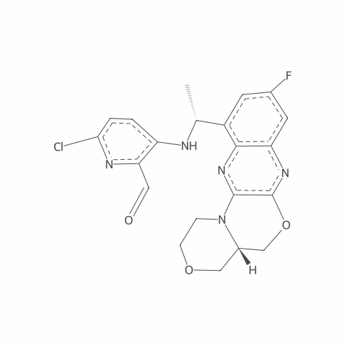 C[C@@H](Nc1ccc(Cl)nc1C=O)c1cc(F)cc2nc3c(nc12)N1CCOC[C@H]1CO3